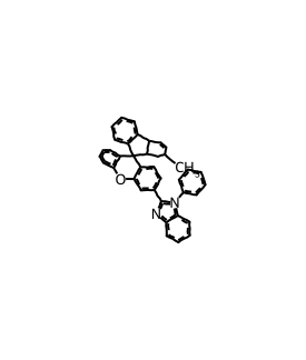 CC1C=CC2c3ccccc3C3(c4ccccc4Oc4cc(-c5nc6ccccc6n5-c5ccccc5)ccc43)C2C1